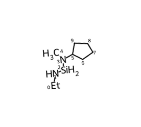 CCN[SiH2]N(C)C1CCCC1